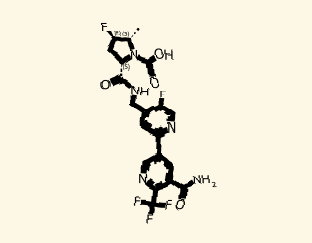 C[C@H]1[C@H](F)C[C@@H](C(=O)NCc2cc(-c3cnc(C(F)(F)F)c(C(N)=O)c3)ncc2F)N1C(=O)O